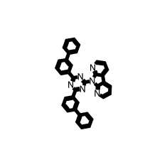 c1ccc(-c2cccc(-c3nc(-c4cccc(-c5ccccc5)c4)nc(-n4c5ncccc5c5cccnc54)n3)c2)cc1